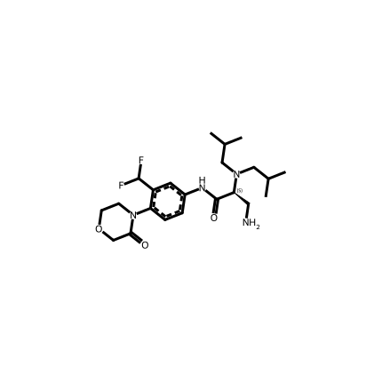 CC(C)CN(CC(C)C)[C@@H](CN)C(=O)Nc1ccc(N2CCOCC2=O)c(C(F)F)c1